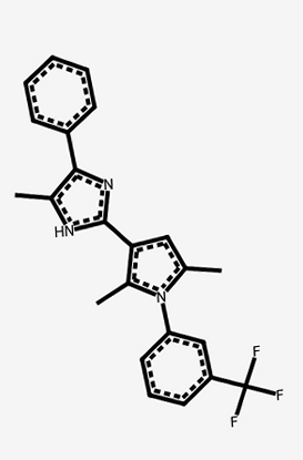 Cc1[nH]c(-c2cc(C)n(-c3cccc(C(F)(F)F)c3)c2C)nc1-c1ccccc1